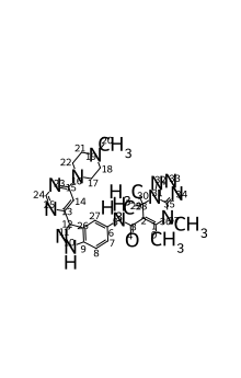 CC1=C(C(=O)Nc2ccc3[nH]nc(-c4cc(N5CCN(C)CC5)ncn4)c3c2)C(C)(C)n2nnnc2N1C